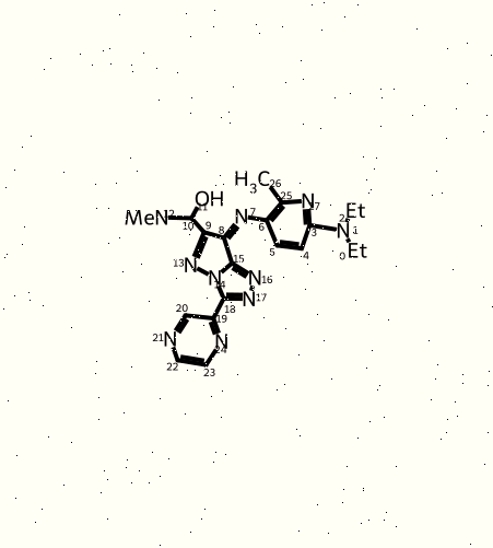 CCN(CC)c1ccc(/N=C2/C(C(O)NC)=Nn3c2nnc3-c2cnccn2)c(C)n1